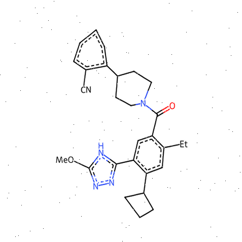 CCc1cc(C2CCC2)c(-c2nnc(OC)[nH]2)cc1C(=O)N1CCC(c2ccccc2C#N)CC1